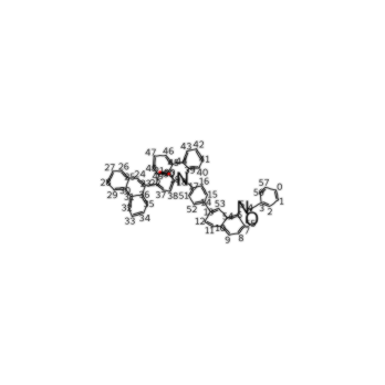 c1ccc(-c2nc3c(ccc4ccc(-c5ccc(N(c6ccc(-c7cc8ccccc8c8ccccc78)cc6)c6ccccc6-c6ccccc6)cc5)cc43)o2)cc1